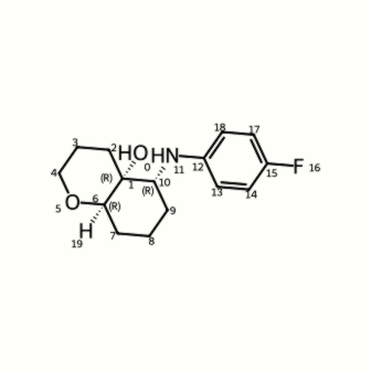 O[C@@]12CCCO[C@@H]1CCC[C@H]2Nc1ccc(F)cc1